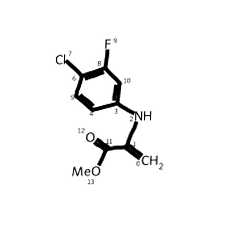 C=C(Nc1ccc(Cl)c(F)c1)C(=O)OC